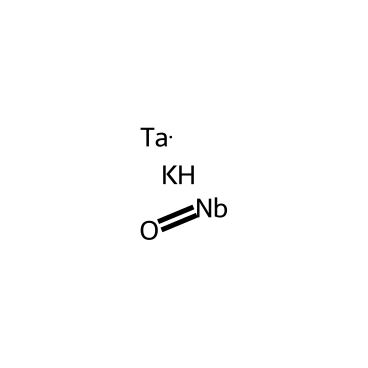 [KH].[O]=[Nb].[Ta]